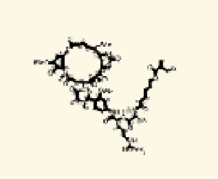 C=C(CBr)C(=O)OCCCCCC(=O)N[C@H](C(=O)N[C@@H](CCCNC(N)=O)C(=O)Nc1ccc(C(=O)N(C)[C@@H](C)C(=O)O[C@H]2CC(=O)N(C)c3cc(cc(OC)c3Cl)C/C(C)=C/C=C/[C@@H](OC)[C@@]3(O)C[C@H](OC(=O)N3)[C@@H](C)[C@@H]3O[C@@]23C)c(OC)c1)C(C)C